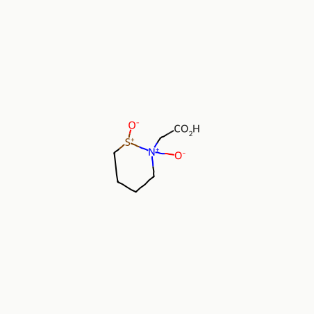 O=C(O)C[N+]1([O-])CCCC[S+]1[O-]